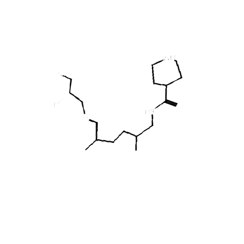 CC(CCC(C)COC[C@H](F)CN)CNC(=O)C1CCNCC1